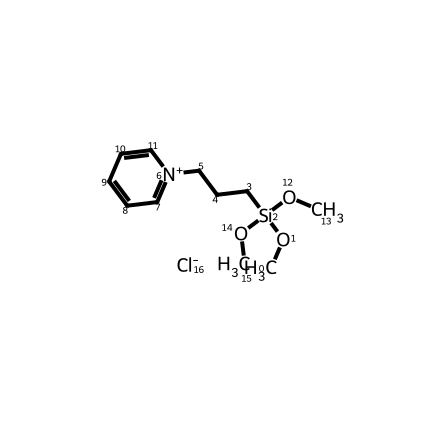 CO[Si](CCC[n+]1ccccc1)(OC)OC.[Cl-]